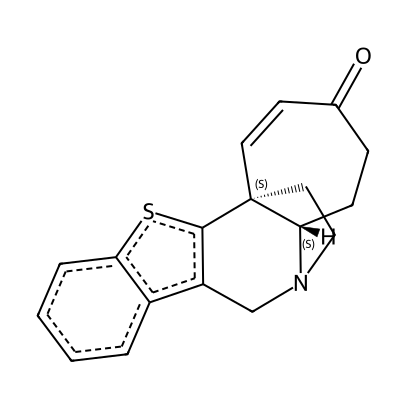 O=C1C=C[C@]23CCN(Cc4c2sc2ccccc42)[C@H]3CC1